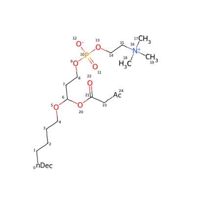 CCCCCCCCCCCCCCOC(CCOP(=O)([O-])OCC[N+](C)(C)C)OC(=O)CC(C)=O